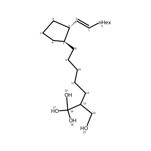 CCCCCC/C=C/[C@H]1CCC[C@@H]1CCCCCC(CO)C(O)(O)O